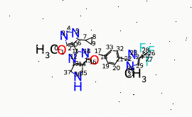 COc1ncnc(C2CC2)c1-c1nc2c(c(OCc3ccc(-c4nc(C(F)(F)F)cn4C)cc3)n1)CNC2